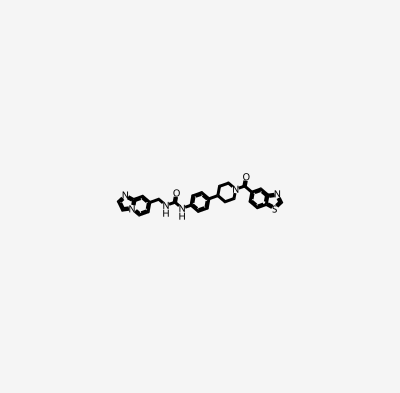 O=C(NCc1ccn2ccnc2c1)Nc1ccc(C2CCN(C(=O)c3ccc4scnc4c3)CC2)cc1